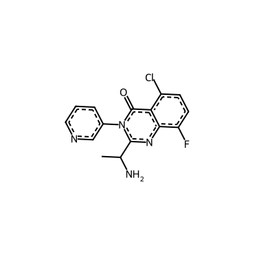 CC(N)c1nc2c(F)ccc(Cl)c2c(=O)n1-c1cccnc1